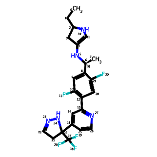 CCC1CC(N[C@@H](C)c2cc(F)c(-c3cc(C4(C(F)(F)F)CC=NN4)ccn3)cc2F)=CN1